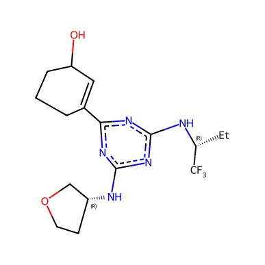 CC[C@@H](Nc1nc(N[C@@H]2CCOC2)nc(C2=CC(O)CCC2)n1)C(F)(F)F